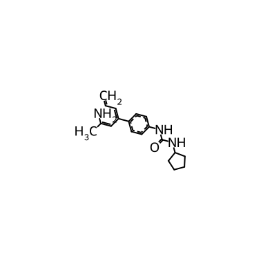 C=C/C=C(\C=C(\C)N)c1ccc(NC(=O)NC2CCCC2)cc1